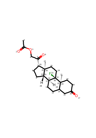 CC(=O)OCC(=O)[C@H]1CC[C@H]2[C@@H]3CCC4CC(=O)CC[C@]4(C)[C@@]3(F)CC[C@]12C